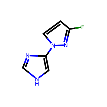 Fc1ccn(-c2c[nH]cn2)n1